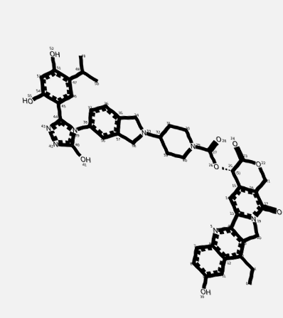 CCc1c2c(nc3ccc(O)cc13)-c1cc3c(c(=O)n1C2)COC(=O)[C@H]3OC(=O)N1CCC(N2Cc3ccc(-n4c(O)nnc4-c4cc(C(C)C)c(O)cc4O)cc3C2)CC1